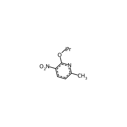 Cc1ccc([N+](=O)[O-])c(OC(C)C)n1